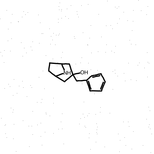 OC1(Cc2ccccc2)CC2CCC(C1)N2